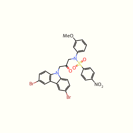 COc1cccc(N(CC(=O)Cn2c3ccc(Br)cc3c3cc(Br)ccc32)S(=O)(=O)c2ccc([N+](=O)[O-])cc2)c1